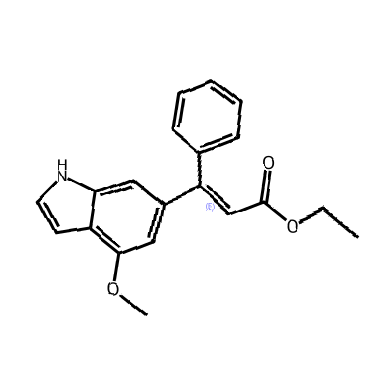 CCOC(=O)/C=C(\c1ccccc1)c1cc(OC)c2cc[nH]c2c1